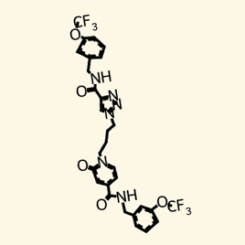 O=C(NCc1cccc(OC(F)(F)F)c1)c1ccn(CCCCn2cc(C(=O)NCc3cccc(OC(F)(F)F)c3)nn2)c(=O)c1